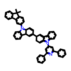 CC1(C)c2ccccc2-c2cc(N3c4ccccc4C4C=C(C5C=c6c(n(-c7cc(-c8ccccc8)nc(-c8ccccc8)c7)c7ccccc67)=CC5)C=CC43)ccc21